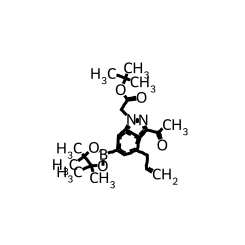 C=CCc1cc(B2OC(C)(C)C(C)(C)O2)cc2c1c(C(C)=O)nn2CC(=O)OC(C)(C)C